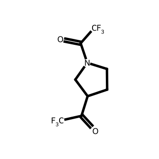 O=C(C1CCN(C(=O)C(F)(F)F)C1)C(F)(F)F